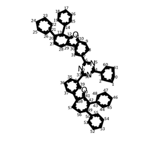 c1ccc(-c2nc(-c3ccc4oc5c(-c6ccccc6)c(-c6ccccc6)ccc5c4c3)nc(-c3cccc4c3oc3c(-c5ccccc5)c(-c5ccccc5)ccc34)n2)cc1